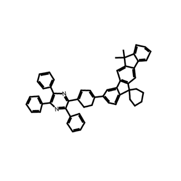 CC1(C)c2ccccc2-c2cc3c(cc21)-c1cc(C2=CC=C(c4nc(-c5ccccc5)c(-c5ccccc5)nc4-c4ccccc4)CC2)ccc1C31CCCCC1